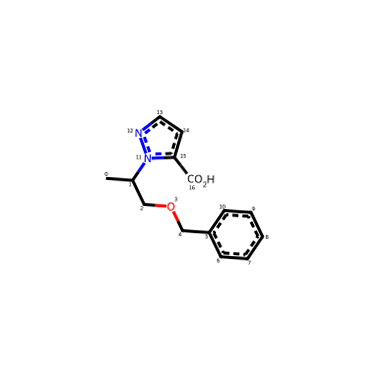 CC(COCc1ccccc1)n1nccc1C(=O)O